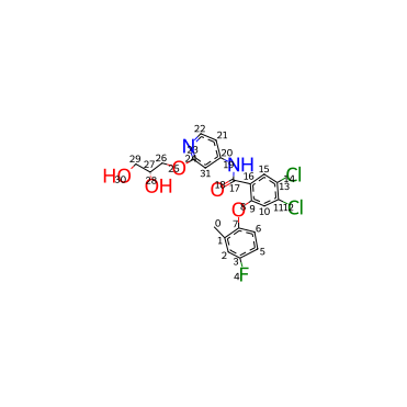 Cc1cc(F)ccc1Oc1cc(Cl)c(Cl)cc1C(=O)Nc1ccnc(OC[C@H](O)CO)c1